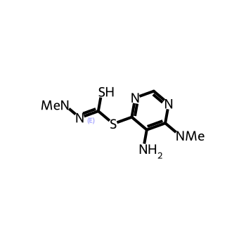 CN/N=C(\S)Sc1ncnc(NC)c1N